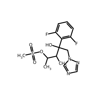 CC(OS(C)(=O)=O)C(C)C(O)(Cn1cncn1)c1c(F)cccc1F